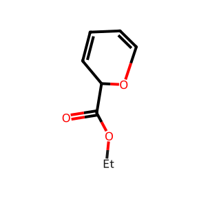 CCOC(=O)C1C=CC=CO1